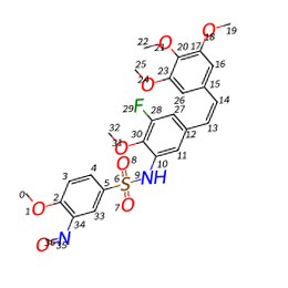 COc1ccc(S(=O)(=O)Nc2cc(/C=C\c3cc(OC)c(OC)c(OC)c3)cc(F)c2OC)cc1N=O